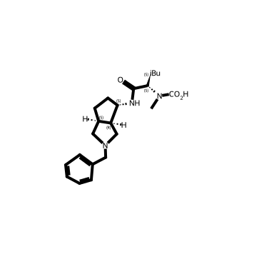 CC[C@H](C)[C@@H](C(=O)N[C@H]1CC[C@@H]2CN(Cc3ccccc3)C[C@@H]21)N(C)C(=O)O